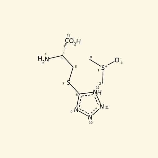 C[S+](C)[O-].N[C@@H](CSc1nnn[nH]1)C(=O)O